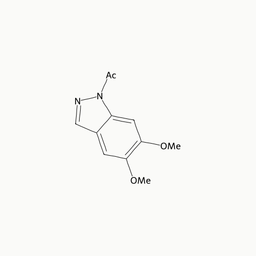 COc1cc2cnn(C(C)=O)c2cc1OC